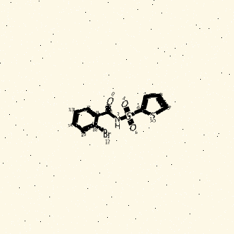 O=C(NS(=O)(=O)c1cccs1)c1ccccc1Br